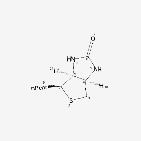 CCCCC[C@@H]1SC[C@@H]2NC(=O)N[C@@H]21